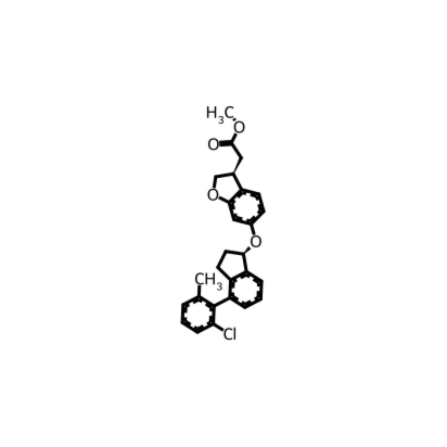 COC(=O)C[C@@H]1COc2cc(O[C@@H]3CCc4c(-c5c(C)cccc5Cl)cccc43)ccc21